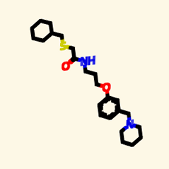 O=C(CSCC1CCCCC1)NCCCOc1cccc(CN2CCCCC2)c1